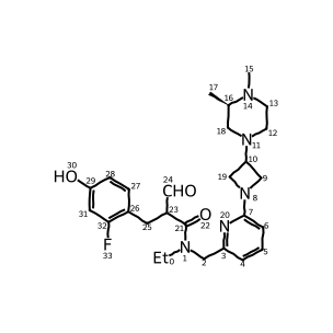 CCN(Cc1cccc(N2CC(N3CCN(C)[C@H](C)C3)C2)n1)C(=O)C(C=O)Cc1ccc(O)cc1F